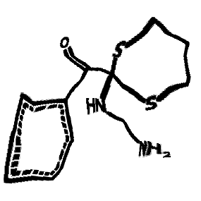 NNC1(C(=O)c2ccccc2)SCCCS1